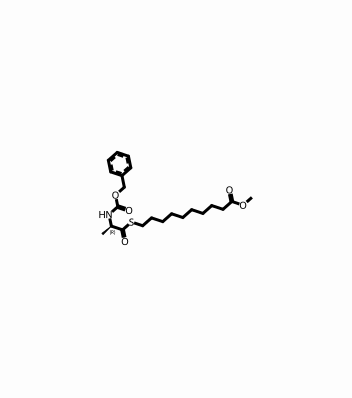 COC(=O)CCCCCCCCCSC(=O)[C@@H](C)NC(=O)OCc1ccccc1